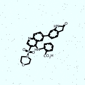 O=C1Cc2ccc(-c3ccc4ncc(S(=O)(=O)N5CCOCC5)c(Nc5ccccc5C(=O)O)c4c3)cc2N1